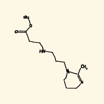 CC1=NCCCN1CCCNCCC(=O)OC(C)(C)C